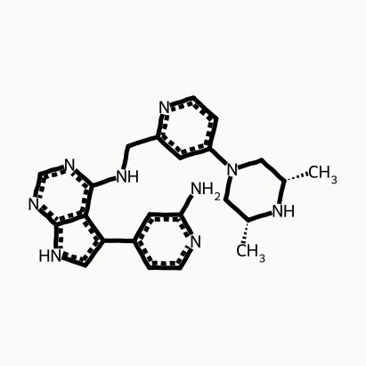 C[C@@H]1CN(c2ccnc(CNc3ncnc4[nH]cc(-c5ccnc(N)c5)c34)c2)C[C@H](C)N1